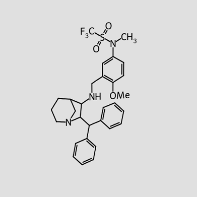 COc1ccc(N(C)S(=O)(=O)C(F)(F)F)cc1CNC1C2CCCN(C2)C1C(c1ccccc1)c1ccccc1